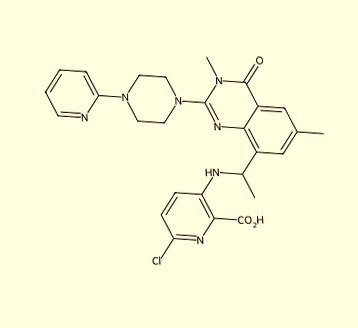 Cc1cc(C(C)Nc2ccc(Cl)nc2C(=O)O)c2nc(N3CCN(c4ccccn4)CC3)n(C)c(=O)c2c1